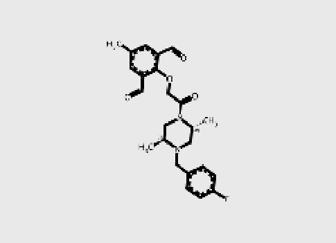 Cc1cc(C=O)c(OCC(=O)N2C[C@H](C)N(Cc3ccc(F)cc3)C[C@H]2C)c(C=O)c1